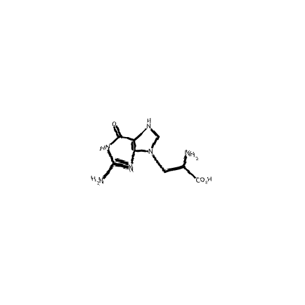 Nc1nc2c(c(=O)[nH]1)NCN2CC(N)C(=O)O